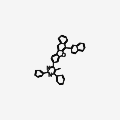 Cc1c(-c2ccccc2)nc(-c2ccccc2)nc1-c1ccc2c(c1)oc1c(-c3ccc4ccccc4c3)c3ccccc3cc12